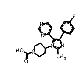 Cc1nc(-c2ccc(F)cc2)c(-c2ccncn2)n1C1CCN(C(=O)O)CC1